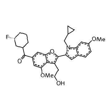 COc1ccc2cc(-c3oc4cc(C(=O)C5CCC[C@@H](F)C5)cc(OC)c4c3CCO)n(CC3CC3)c2c1